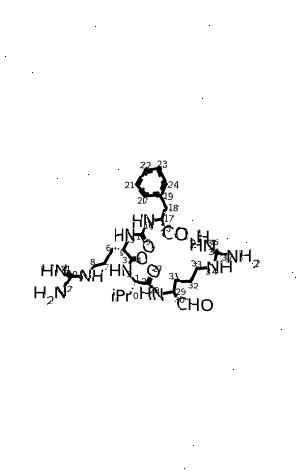 CC(C)[C@H](NC(=O)[C@H](CCCNC(=N)N)NC(=O)N[C@@H](Cc1ccccc1)C(=O)O)C(=O)NC(C=O)CCCNC(=N)N